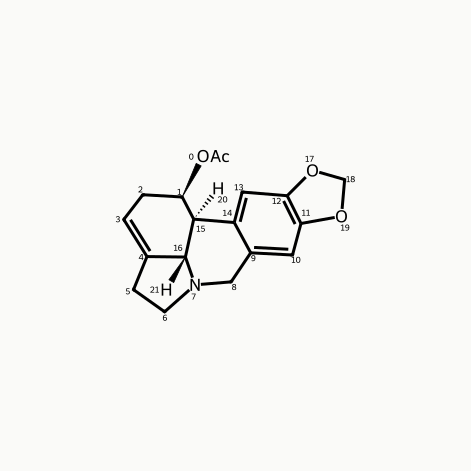 CC(=O)O[C@@H]1CC=C2CCN3Cc4cc5c(cc4[C@H]1[C@@H]23)OCO5